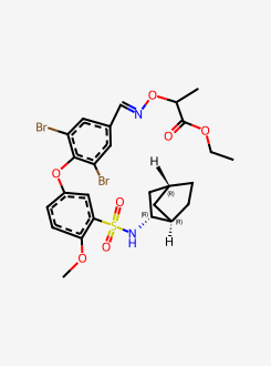 CCOC(=O)C(C)ON=Cc1cc(Br)c(Oc2ccc(OC)c(S(=O)(=O)N[C@@H]3C[C@@H]4CC[C@@H]3C4)c2)c(Br)c1